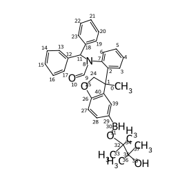 CC1(c2ccccc2N(C=O)C(c2ccccc2)c2ccccc2)COc2ccc(BOC(C)(C)C(C)(C)O)cc21